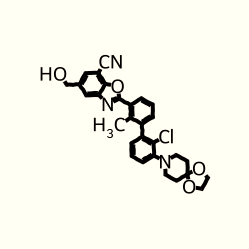 Cc1c(-c2nc3cc(CO)cc(C#N)c3o2)cccc1-c1cccc(N2CCC3(CC2)OCCO3)c1Cl